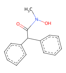 CN(O)C(=O)C(c1ccccc1)c1ccccc1